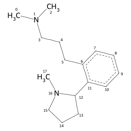 CN(C)CCCc1ccccc1C1CCCN1C